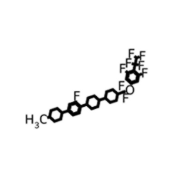 CC1CCC(c2ccc(C3CCC(C4CCC(C(F)(F)Oc5cc(F)c(C(F)(F)C(F)F)c(F)c5)CC4)CC3)c(F)c2)CC1